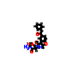 Cc1oc2ccc(C(=O)Cc3ccccc3)cc2c1C(=O)NC(C)(CO)C(N)=O